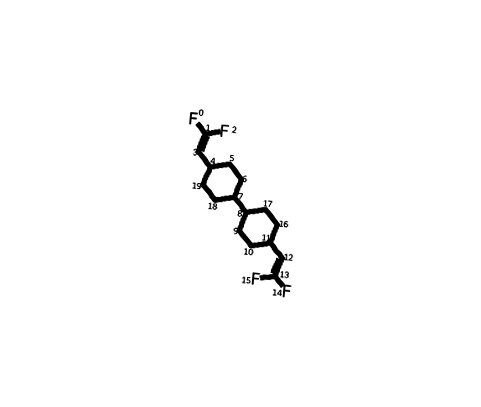 FC(F)=CC1CCC(C2CCC(C=C(F)F)CC2)CC1